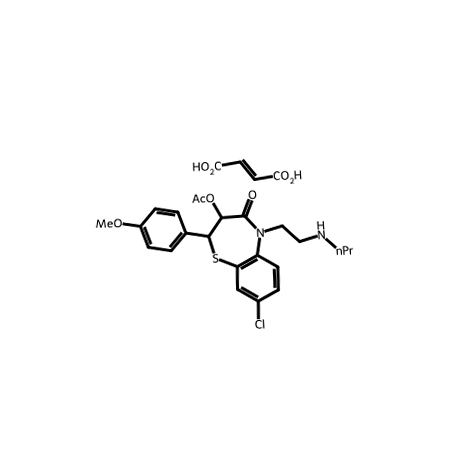 CCCNCCN1C(=O)C(OC(C)=O)C(c2ccc(OC)cc2)Sc2cc(Cl)ccc21.O=C(O)C=CC(=O)O